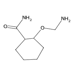 NCOC1CCCCC1C(N)=O